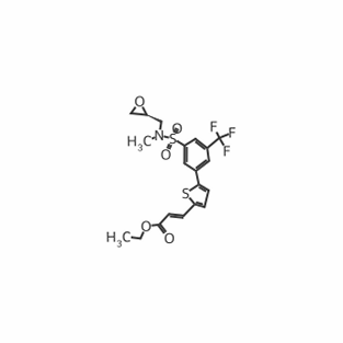 CCOC(=O)C=Cc1ccc(-c2cc(C(F)(F)F)cc(S(=O)(=O)N(C)C[C@H]3CO3)c2)s1